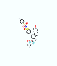 Cc1ccc(S(=O)(=O)N=[SH](=O)c2ccc([C@H]3C[C@@]4(C)C(CC[C@@]4(O)C(F)(F)C(F)(F)F)C4CCC5=CC(=O)CCC5=C43)cc2)cc1